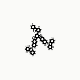 c1ccc2c(c1)oc1c(-c3cc4oc5cc6cc(-n7c8ccccc8c8ccccc87)ccc6cc5c4c4c3oc3cc5cc(-n6c7ccccc7c7ccccc76)ccc5cc34)cccc12